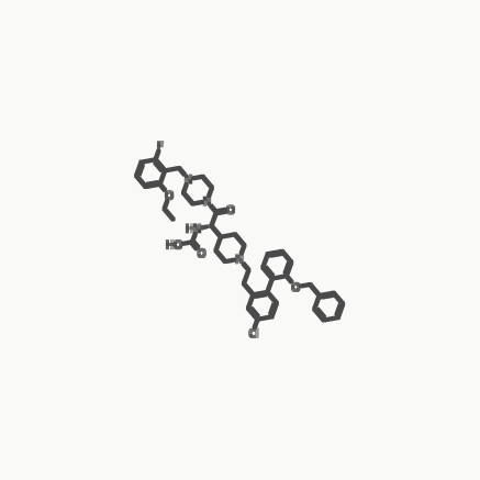 CCOc1cccc(F)c1CN1CCN(C(=O)[C@H](NC(=O)O)C2CCN(CCc3cc(Cl)ccc3-c3ccccc3OCc3ccccc3)CC2)CC1